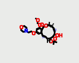 COCOc1cc(OCCN2CCOCC2)cc2c1C(=O)O[C@@H](C)[C@H](C)/C=C\C(O)C1OC(C)(C)O[C@H]1C/C=C/2